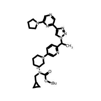 CC(c1ccc(N2CCC[C@@H](N(CC3CC3)C(=O)OC(C)(C)C)C2)cn1)n1cc(-c2cncc(N3CCCC3)n2)nn1